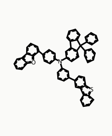 c1ccc(C2(c3ccccc3)c3ccccc3-c3cc(N(c4ccc(-c5cccc6c5oc5ccccc56)cc4)c4cccc(-c5ccc6sc7ccccc7c6c5)c4)ccc32)cc1